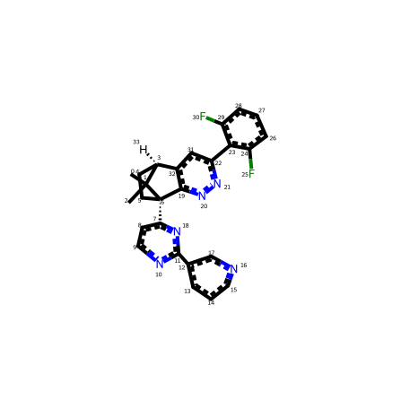 CC1(C)[C@H]2CC[C@]1(c1ccnc(-c3cccnc3)n1)c1nnc(-c3c(F)cccc3F)cc12